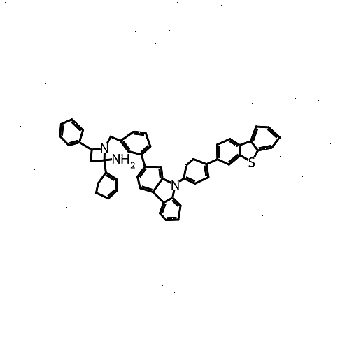 NC1(C2=CC=CCC2)CC(c2ccccc2)N1Cc1cccc(-c2ccc3c4ccccc4n(C4=CC=C(c5ccc6c(c5)sc5ccccc56)CC4)c3c2)c1